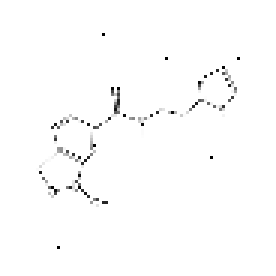 O=C(NCCc1cccs1)c1ccc2c(c1)B(O)OC2